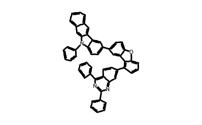 c1ccc(-c2nc(-c3ccccc3)c3ccc(-c4cccc5oc6ccc(-c7ccc8c(c7)c7cc9ccccc9cc7n8-c7ccccc7)cc6c45)cc3n2)cc1